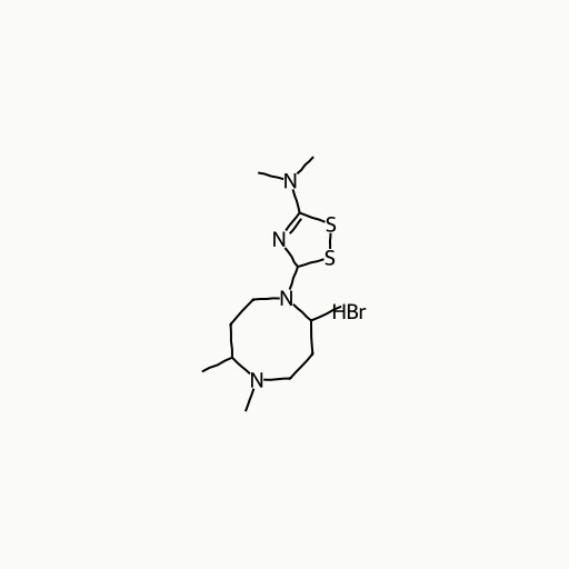 Br.CC1CCN(C2N=C(N(C)C)SS2)C(C)CCN1C